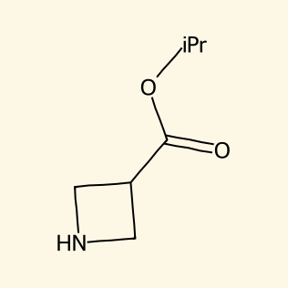 CC(C)OC(=O)C1CNC1